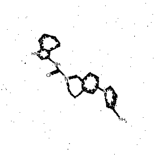 Nc1ccn(-c2ccc3c(c2)CCN(C(=O)Nc2c[nH]c4ccccc24)C3)c1